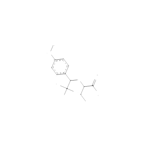 CCC(OC(c1ccc(OC)cc1)C(F)(F)F)C(=O)O